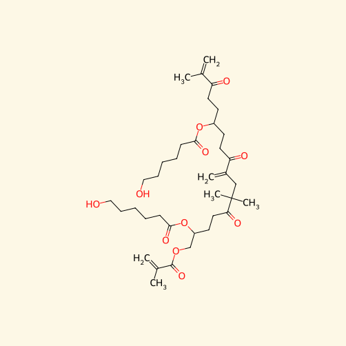 C=C(C)C(=O)CCC(CCC(=O)C(=C)CC(C)(C)C(=O)CCC(COC(=O)C(=C)C)OC(=O)CCCCCO)OC(=O)CCCCCO